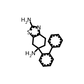 Nc1nc2c(s1)CC(N)(c1ccccc1-c1ccccc1)CC2